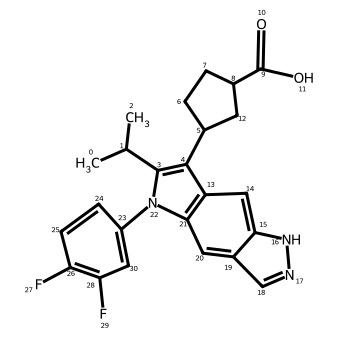 CC(C)c1c(C2CCC(C(=O)O)C2)c2cc3[nH]ncc3cc2n1-c1ccc(F)c(F)c1